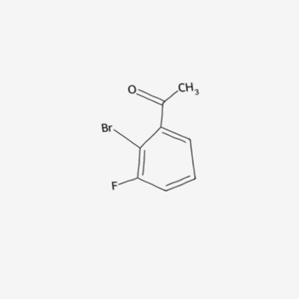 CC(=O)c1cccc(F)c1Br